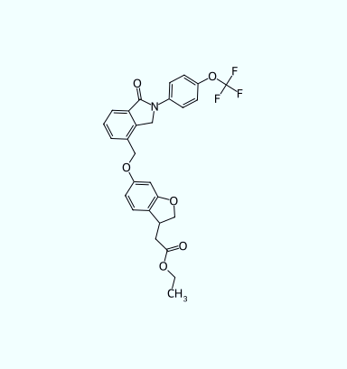 CCOC(=O)CC1COc2cc(OCc3cccc4c3CN(c3ccc(OC(F)(F)F)cc3)C4=O)ccc21